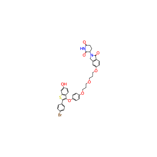 O=C1CCC(N2Cc3cc(OCCCOCCCOc4ccc(Oc5c(-c6ccc(Br)cc6)sc6cc(O)ccc56)cc4)ccc3C2=O)C(=O)N1